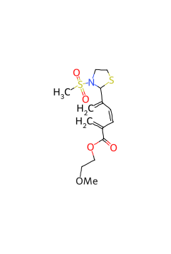 C=C(/C=C\C(=C)C1SCCN1S(C)(=O)=O)C(=O)OCCOC